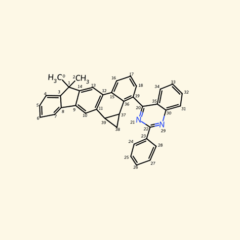 CC1(C)c2ccccc2-c2cc3c(cc21)-c1cccc(-c2nc(-c4ccccc4)nc4ccccc24)c1C1CC31